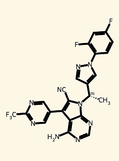 C[C@@H](c1cnn(-c2ccc(F)cc2F)c1)n1c(C#N)c(-c2cnc(C(F)(F)F)nc2)c2c(N)ncnc21